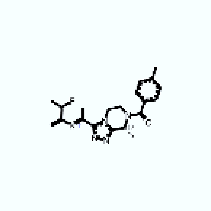 C=C(/N=C(\C)c1nnc2n1CCN(C(=O)c1ccc(C)cc1)[C@@H]2C)C(C)F